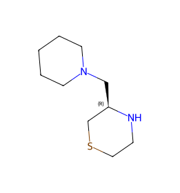 C1CCN(C[C@@H]2CSCCN2)CC1